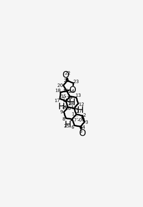 C[C@]12C=CC(=O)C[C@@H]1CC[C@@H]1[C@@H]2CC[C@@]2(C)[C@H]1CCC21CC(=O)CO1